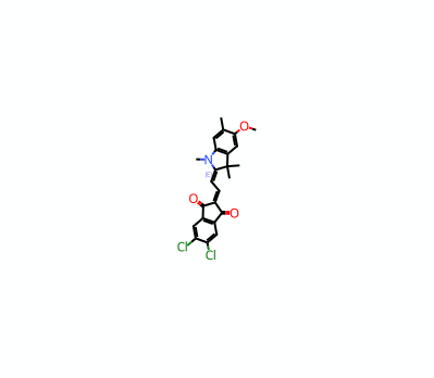 COc1cc2c(cc1C)N(C)/C(=C/C=C1C(=O)c3cc(Cl)c(Cl)cc3C1=O)C2(C)C